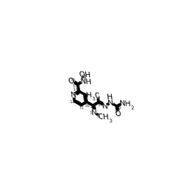 C/N=C(\C(C)=N\NC(N)=O)c1ccnc(C(=O)NO)c1